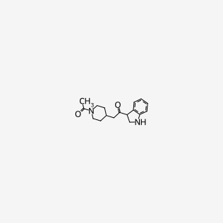 CC(=O)N1CCC(CC(=O)C2CNc3ccccc32)CC1